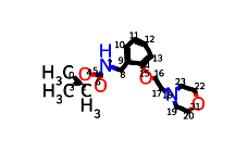 CC(C)(C)OC(=O)NCc1ccccc1OCCN1CCOCC1